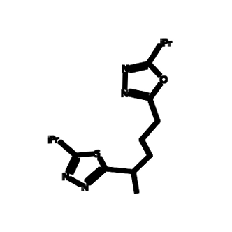 CC(C)c1nnc(CCCC(C)c2nnc(C(C)C)s2)o1